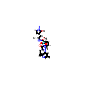 Cc1cncc(N[C@@H](CC2CC2)C(=O)N2[C@H]3CC[C@@H]([C@@H]2C(=O)N[C@H](C#N)C[C@H]2CCNC2=O)C(F)(F)C3)c1